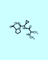 CNC(C)C(=O)NC(C(=O)N1CCCC1C(=O)O)C1CC1